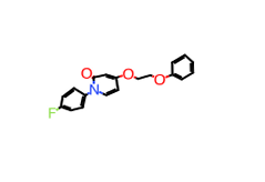 O=c1cc(OCCOc2ccccc2)ccn1-c1ccc(F)cc1